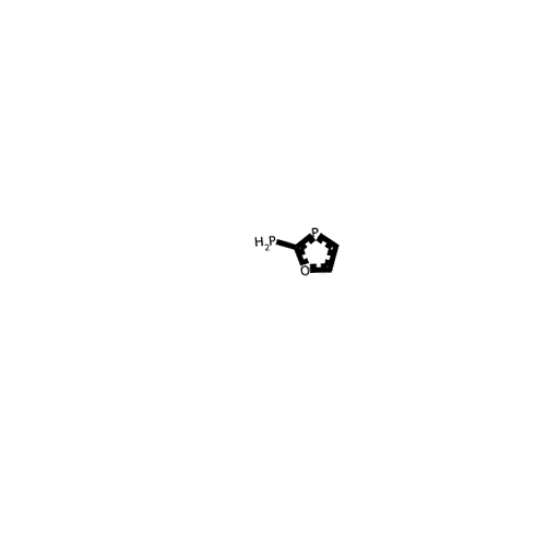 Pc1occp1